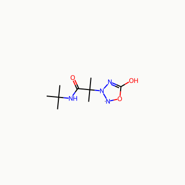 CC(C)(C)NC(=O)C(C)(C)N1[N]OC(O)=N1